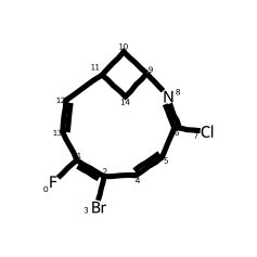 FC1=C(Br)C=CC(Cl)=NC2CC(C=C1)C2